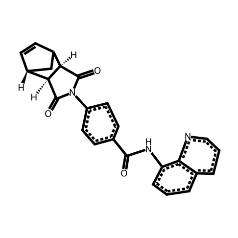 O=C(Nc1cccc2cccnc12)c1ccc(N2C(=O)[C@H]3[C@@H]4C=CC(C4)[C@H]3C2=O)cc1